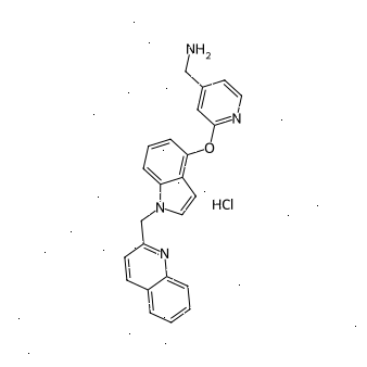 Cl.NCc1ccnc(Oc2cccc3c2ccn3Cc2ccc3ccccc3n2)c1